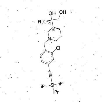 CC(C)[Si](C#Cc1ccc(CN2CCC[C@H]([C@](C)(O)CO)C2)c(Cl)c1)(C(C)C)C(C)C